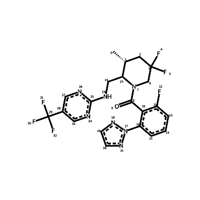 C[C@@H]1CC(F)(F)CN(C(=O)c2c(F)cccc2-n2nccn2)C1CNc1ncc(C(F)(F)F)cn1